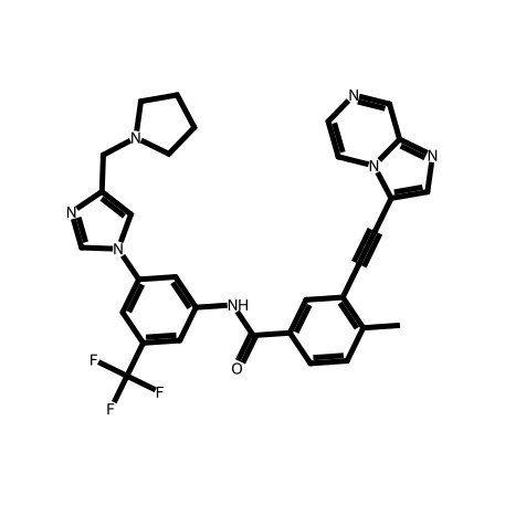 Cc1ccc(C(=O)Nc2cc(-n3cnc(CN4CCCC4)c3)cc(C(F)(F)F)c2)cc1C#Cc1cnc2cnccn12